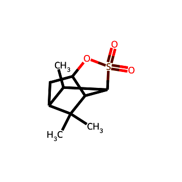 CC1C2CC3OS(=O)(=O)C1C3C2(C)C